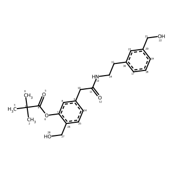 CC(C)(C)C(=O)Oc1cc(CC(=O)NCCc2cccc(CO)c2)ccc1CO